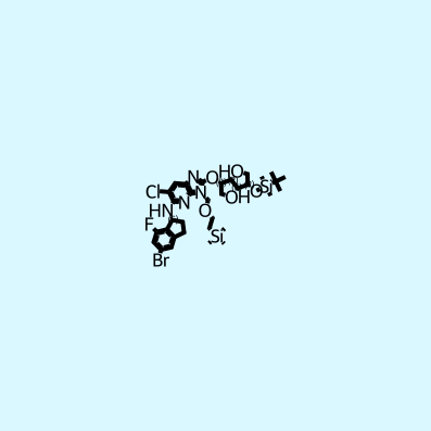 CC(C)(C)[Si](C)(C)O[C@@H]1CO[C@H]2[C@@H]1OC[C@H]2Oc1nc2cc(Cl)c(N[C@H]3CCc4cc(Br)cc(F)c43)nc2n1COCC[Si](C)(C)C